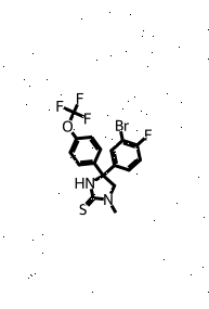 CN1CC(c2ccc(OC(F)(F)F)cc2)(c2ccc(F)c(Br)c2)NC1=S